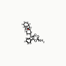 NC(=O)OC1C(=O)N(C2CCN(C3C4CCCC3CCC4)CC2)c2ccccc21